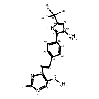 COc1cnc(Cl)nc1C=Cc1ccc(-c2nc(C(F)(F)F)cn2C)cc1